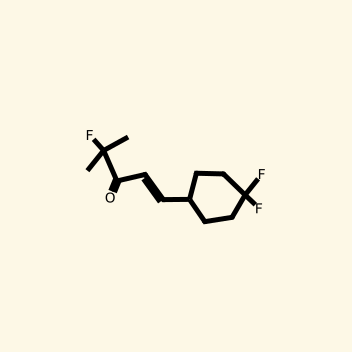 CC(C)(F)C(=O)/C=C/C1CCC(F)(F)CC1